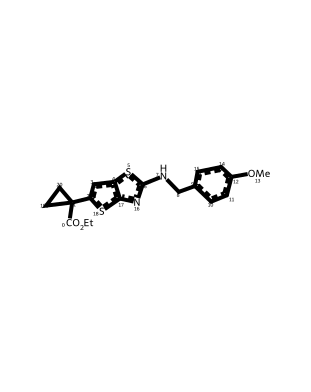 CCOC(=O)C1(c2cc3sc(NCc4ccc(OC)cc4)nc3s2)CC1